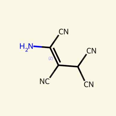 N#C/C(N)=C(/C#N)C(C#N)C#N